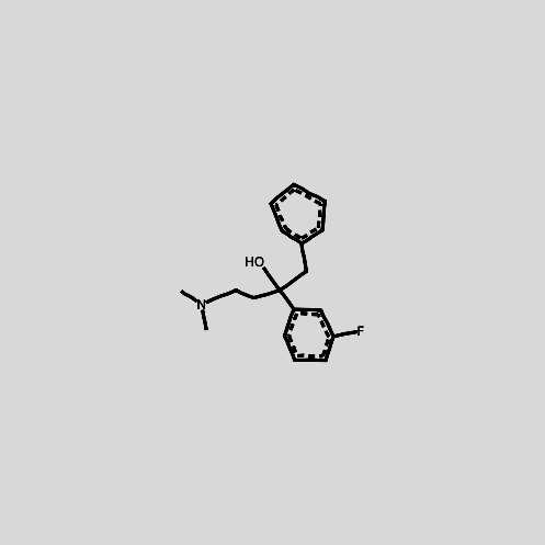 CN(C)CCC(O)(Cc1ccccc1)c1cccc(F)c1